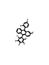 Fc1ccc(-c2c3ccccc3c(-c3c(F)c(F)c(F)c(F)c3F)c3ccc(F)cc23)c(F)c1